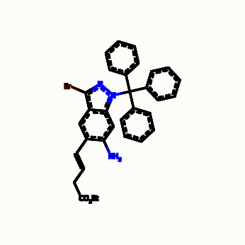 CCOC(=O)C/C=C/c1cc2c(Br)nn(C(c3ccccc3)(c3ccccc3)c3ccccc3)c2cc1N